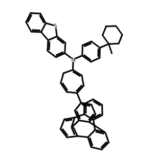 CC1(c2ccc(N(C3=CC=C(c4ccc5c(c4)-c4c6cccc4-c4cccc-5c4-c4ccccc4-6)C=CC3)c3ccc4c(c3)sc3ccccc34)cc2)CCCCC1